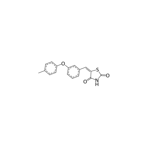 Cc1ccc(Oc2cccc(/C=C3/SC(=O)NC3=O)c2)cc1